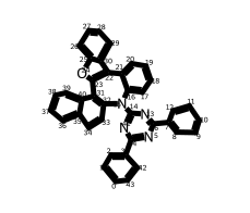 c1ccc(-c2nc(-c3ccccc3)nc(N3c4ccccc4-c4c(oc5ccccc45)-c4c3ccc3ccccc43)n2)cc1